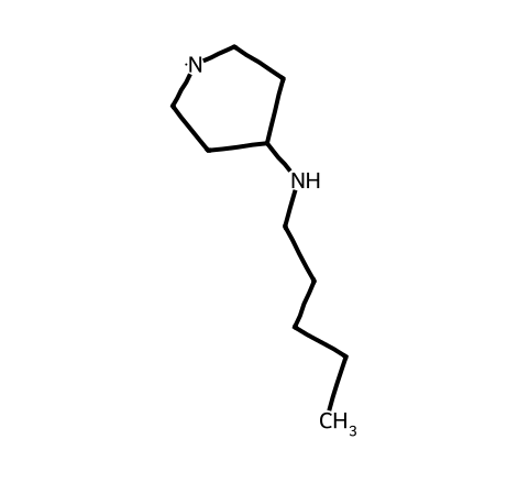 CCCCCNC1CC[N]CC1